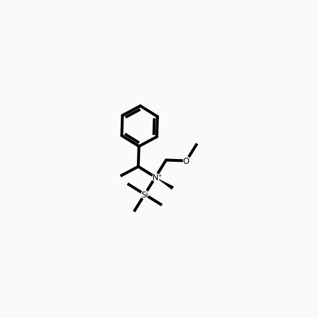 COC[N@@+](C)(C(C)c1ccccc1)[Si](C)(C)C